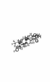 CO[C@@H]1CC(C)(C)C[C@@H]2C3=CC[C@@H]4[C@@]5(C)CC[C@H](O)C(C)(C(=O)O)C5CC[C@@]4(C)[C@]3(C)CC[C@]21C